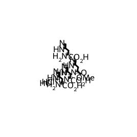 COC(=O)[C@@H](N)Cc1cnc[nH]1.Cl.Cl.N[C@@H](Cc1cnc[nH]1)C(=O)O.N[C@@H](Cc1cnc[nH]1)C(=O)O.N[C@H](Cc1cnc[nH]1)C(=O)O